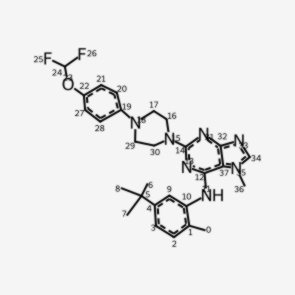 Cc1ccc(C(C)(C)C)cc1Nc1nc(N2CCN(c3ccc(OC(F)F)cc3)CC2)nc2ncn(C)c12